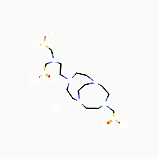 O=S(O)CN1CCN2CCN(CCN(CCN(CS(=O)O)CS(=O)O)CC2)CC1.[Y]